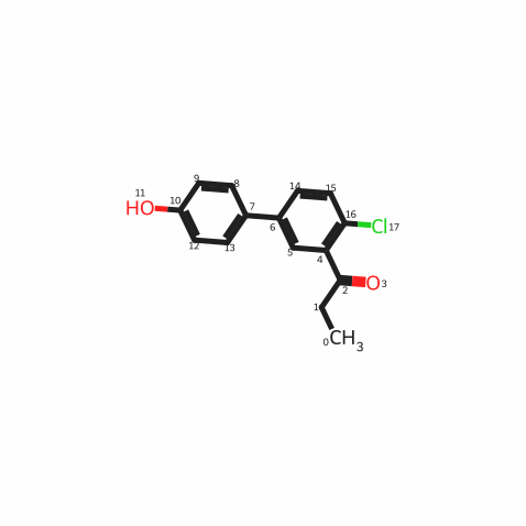 CCC(=O)c1cc(-c2ccc(O)cc2)ccc1Cl